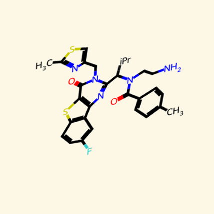 Cc1ccc(C(=O)N(CCN)C(c2nc3c(sc4ccc(F)cc43)c(=O)n2Cc2csc(C)n2)C(C)C)cc1